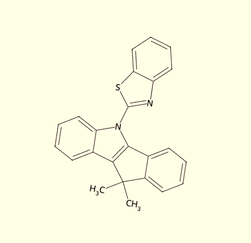 CC1(C)c2ccccc2-c2c1c1ccccc1n2-c1nc2ccccc2s1